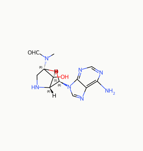 CN(C=O)[C@]12CN[C@@H]([C@H](n3cnc4c(N)ncnc43)O1)[C@@H]2O